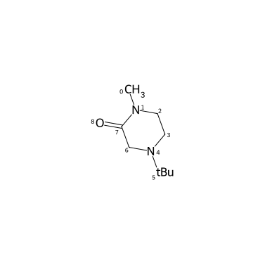 CN1CCN(C(C)(C)C)CC1=O